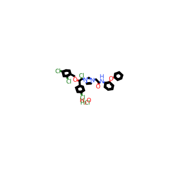 Cl.O.O=C(CN1C=CN(C(Cl)C(OCc2ccc(Cl)cc2Cl)c2ccc(Cl)cc2)C1)Nc1ccccc1Oc1ccccc1